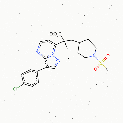 CCOC(=O)C(C)(CC1CCN(S(C)(=O)=O)CC1)c1ccnc2c(-c3ccc(Cl)cc3)cnn12